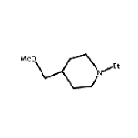 CCN1CCC(COC)CC1